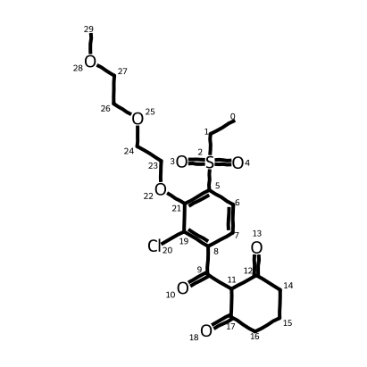 CCS(=O)(=O)c1ccc(C(=O)C2C(=O)CCCC2=O)c(Cl)c1OCCOCCOC